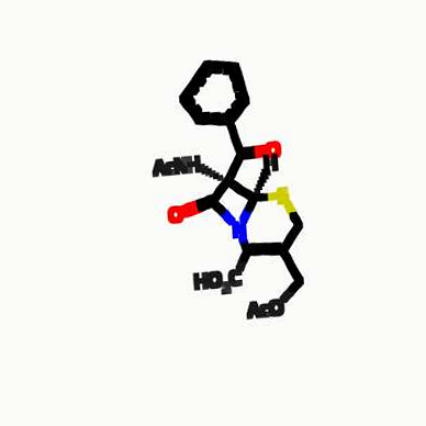 CC(=O)N[C@@]1(C(=O)c2ccccc2)C(=O)N2C(C(=O)O)=C(COC(C)=O)CS[C@@H]21